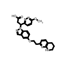 COc1ccc(C(CC(=O)O)n2ncc3cc(OCCc4ccc5c(n4)NCCC5)ccc32)nn1